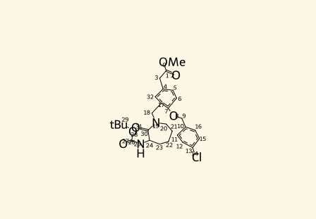 COC(=O)Cc1ccc(OCc2ccc(Cl)cc2)c(CN2CCCCC(NC(=O)OC(C)(C)C)C2=O)c1